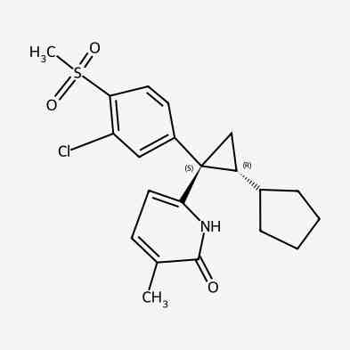 Cc1ccc([C@@]2(c3ccc(S(C)(=O)=O)c(Cl)c3)C[C@@H]2C2CCCC2)[nH]c1=O